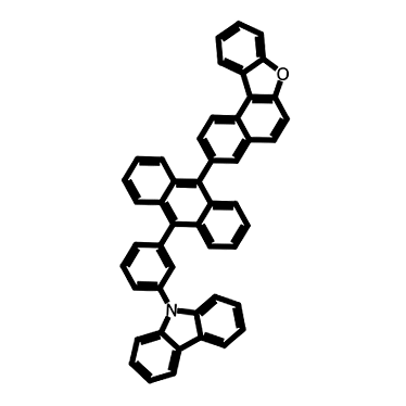 c1cc(-c2c3ccccc3c(-c3ccc4c(ccc5oc6ccccc6c54)c3)c3ccccc23)cc(-n2c3ccccc3c3ccccc32)c1